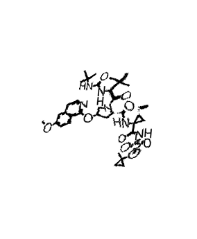 C=C[C@@H]1C[C@]1(NC(=O)[C@@H]1C[C@@H](Oc2nccc3cc(OC)ccc23)CN1C(=O)[C@@H](NC(=O)NC(C)(C)C)C(C)(C)C)C(=O)NS(=O)(=O)OC1(C)CC1